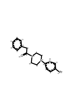 CC(C)c1ccc(N2CCN(C(=O)Cc3ccccc3)CC2)nc1